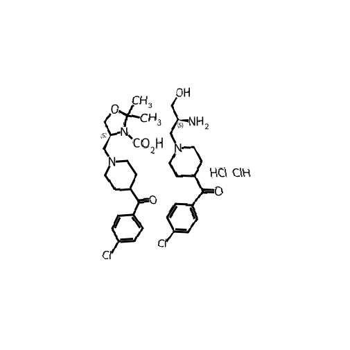 CC1(C)OC[C@H](CN2CCC(C(=O)c3ccc(Cl)cc3)CC2)N1C(=O)O.Cl.Cl.N[C@H](CO)CN1CCC(C(=O)c2ccc(Cl)cc2)CC1